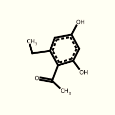 CCc1cc(O)cc(O)c1C(C)=O